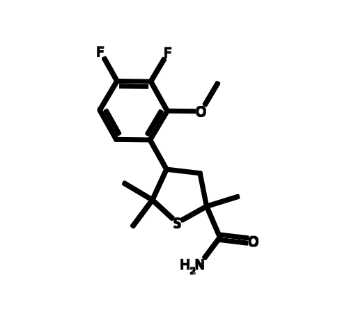 COc1c(C2CC(C)(C(N)=O)SC2(C)C)ccc(F)c1F